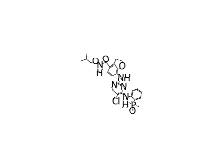 CC(C)CONC(=O)c1ccc(Nc2ncc(Cl)c(Nc3ccccc3P(C)(C)=O)n2)c2c1CCO2